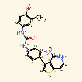 Cc1cc(NC(=O)Nc2ccc(-c3csc4ccnc(N)c34)cc2)ccc1Br